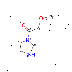 CC(C)OCC(=O)N1CCNC1